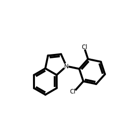 Clc1cccc(Cl)c1-n1ccc2ccccc21